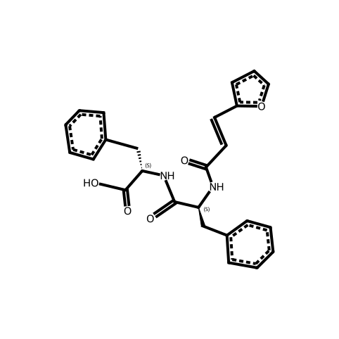 O=C(C=Cc1ccco1)N[C@@H](Cc1ccccc1)C(=O)N[C@@H](Cc1ccccc1)C(=O)O